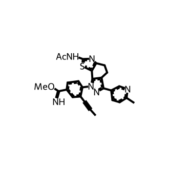 CC#Cc1cc(C(=N)OC)ccc1-n1nc(-c2ccc(C)nc2)c2c1-c1sc(NC(C)=O)nc1CC2